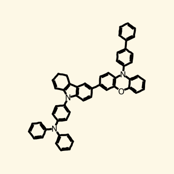 C1=Cc2c(c3cc(-c4ccc5c(c4)Oc4ccccc4N5c4ccc(-c5ccccc5)cc4)ccc3n2-c2ccc(N(c3ccccc3)c3ccccc3)cc2)CC1